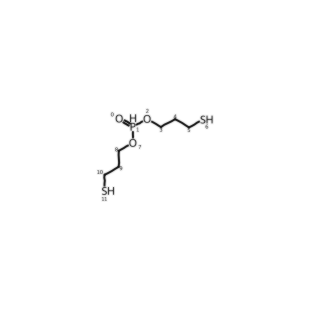 O=[PH](OCCCS)OCCCS